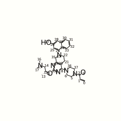 C=CC(=O)N1CCN(c2nc(O[C@H](C)CN(C)C)nc3c2CCN(c2cc(O)cc4ccccc24)C3)CC1